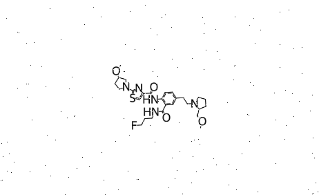 COC[C@@H]1CCCN1CCc1ccc(NC(=O)c2csc(N3CC[C@H](OC)C3)n2)c(C(=O)NCCCF)c1